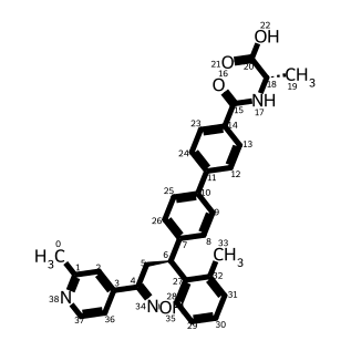 Cc1cc(/C(C[C@@H](c2ccc(-c3ccc(C(=O)N[C@@H](C)C(=O)O)cc3)cc2)c2ccccc2C)=N/O)ccn1